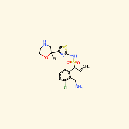 C=CC(c1cccc(Cl)c1CN)S(=O)(=O)Nc1nc(C2(CC)CNCCO2)cs1